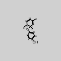 CC1=CC(C)(Sc2ccc(O)cc2)C(C)C=C1